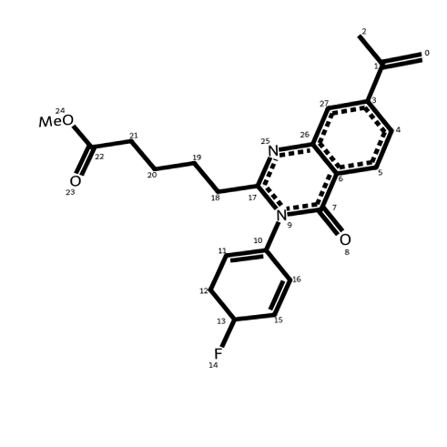 C=C(C)c1ccc2c(=O)n(C3=CCC(F)C=C3)c(CCCCC(=O)OC)nc2c1